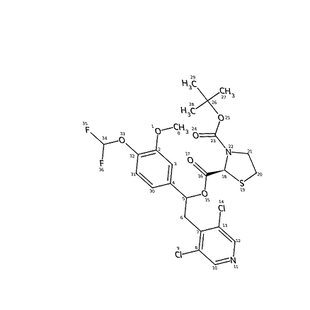 COc1cc(C(Cc2c(Cl)cncc2Cl)OC(=O)[C@@H]2SCCN2C(=O)OC(C)(C)C)ccc1OC(F)F